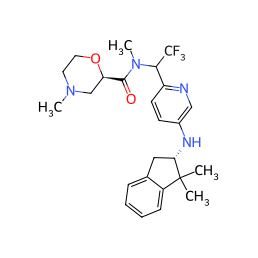 CN1CCO[C@@H](C(=O)N(C)C(c2ccc(N[C@H]3Cc4ccccc4C3(C)C)cn2)C(F)(F)F)C1